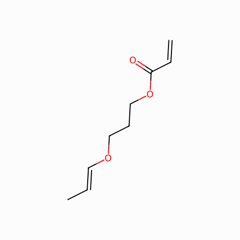 C=CC(=O)OCCCOC=CC